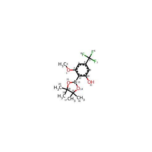 COc1cc(C(F)(F)F)cc(O)c1B1OC(C)(C)C(C)(C)O1